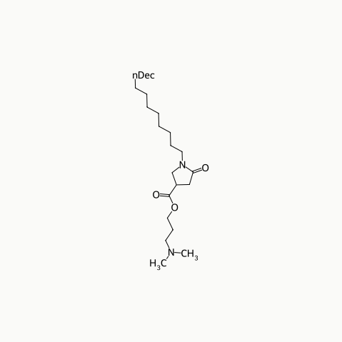 CCCCCCCCCCCCCCCCCCN1CC(C(=O)OCCCN(C)C)CC1=O